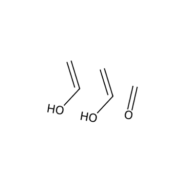 C=CO.C=CO.C=O